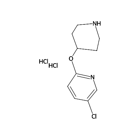 Cl.Cl.Clc1ccc(OC2CCNCC2)nc1